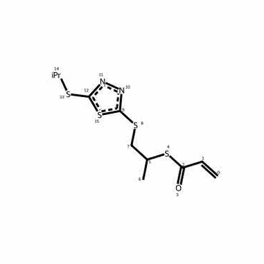 C=CC(=O)SC(C)CSc1nnc(SC(C)C)s1